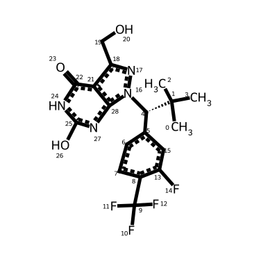 CC(C)(C)[C@H](c1ccc(C(F)(F)F)c(F)c1)n1nc(CO)c2c(=O)[nH]c(O)nc21